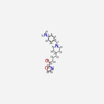 CN(C)c1ccc(CN2CCC(CCCC(=O)c3ncco3)CC2)cc1